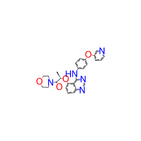 C[C@@H](Oc1cccc2ncnc(Nc3ccc(Oc4cccnc4)cc3)c12)C(=O)N1CCOCC1